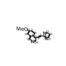 COc1ccc2c(C#Cc3ncccn3)cncc2c1